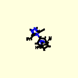 Cc1nnc(C(C)C)n1C1C[C@H]2CC[C@@H](C1)N2